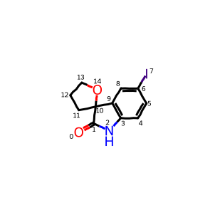 O=C1Nc2ccc(I)cc2C12CCCO2